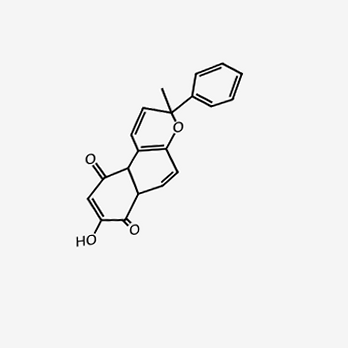 CC1(c2ccccc2)C=CC2=C(C=CC3C(=O)C(O)=CC(=O)C23)O1